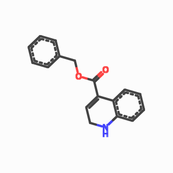 O=C(OCc1ccccc1)C1=CCNc2ccccc21